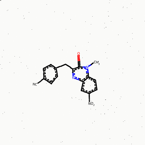 Cn1c(=O)c(Cc2ccc(C#N)cc2)nc2cc([N+](=O)[O-])ccc21